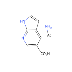 CC(N)=O.O=C(O)c1cnc2[nH]ccc2c1